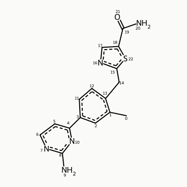 Cc1cc(-c2ccnc(N)n2)ccc1Cc1ncc(C(N)=O)s1